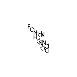 Cc1ncc(-c2cccn3c(-c4cccc(Cl)c4Cl)ncc23)cc1CNc1ccc(F)cc1